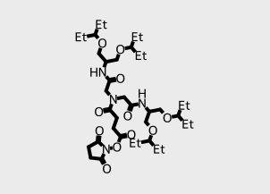 CCC(CC)OCC(COC(CC)CC)NC(=O)CN(CC(=O)NC(COC(CC)CC)COC(CC)CC)C(=O)CCC(=O)ON1C(=O)CCC1=O